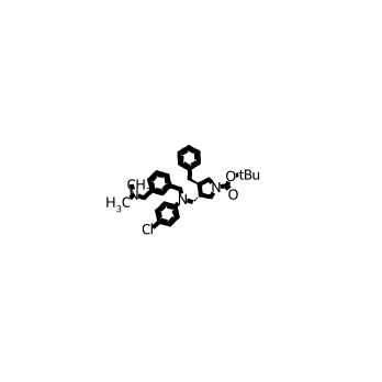 CN(C)Cc1cccc(CN(C[C@H]2CN(C(=O)OC(C)(C)C)C[C@@H]2Cc2ccccc2)c2ccc(Cl)cc2)c1